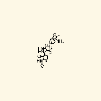 C[C@@H]1OCC2(CCN(c3nc4c(c(=O)n3C)C(c3ccnc(NC5CCC5)c3Cl)NN4)CC2)[C@@H]1N